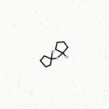 CCC1(SC2(CC)CCCC2)CCCC1